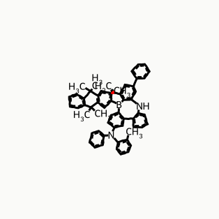 C=Cc1cc(-c2ccccc2)cc2c1B(c1cc3c(cc1C)C(C)(C)c1ccccc1C3(C)C)c1ccc(N(c3ccccc3)c3ccccc3C)cc1-c1ccccc1N2